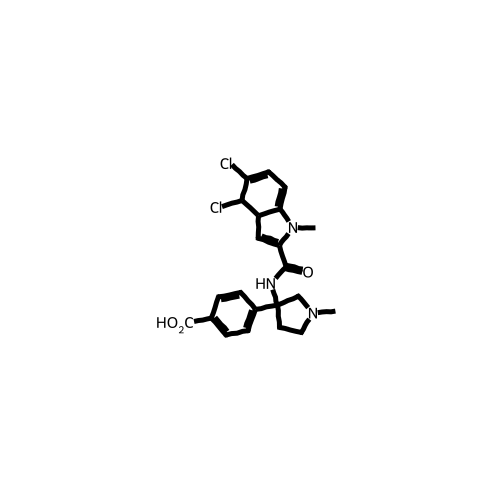 CN1CCC(NC(=O)C2=CC3C(=CC=C(Cl)C3Cl)N2C)(c2ccc(C(=O)O)cc2)C1